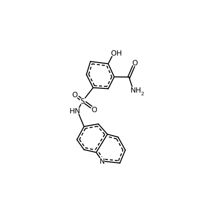 NC(=O)c1cc(S(=O)(=O)Nc2ccc3ncccc3c2)ccc1O